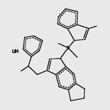 CC1=CC([Si](C)(C)C2C=C(CC(C)c3ccccc3)c3cc4c(cc32)CCC4)c2ccccc21.[LiH]